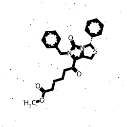 COC(=O)CCCCC(=O)c1c2n(c(=O)n1Cc1ccccc1)[C@H](c1ccccc1)SC2